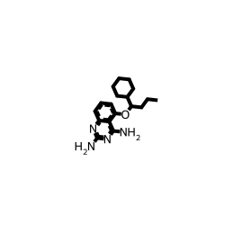 CCCC(Oc1cccc2nc(N)nc(N)c12)C1CCCCC1